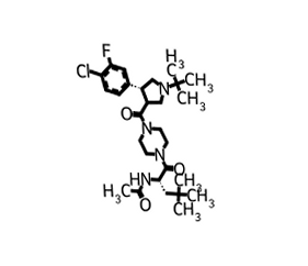 CC(=O)N[C@@H](CC(C)(C)C)C(=O)N1CCN(C(=O)C2CN(C(C)(C)C)C[C@H]2c2ccc(Cl)c(F)c2)CC1